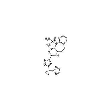 BC(B)(B)N1C(=O)[C@@H](NC(=O)c2cc(C3(n4nccn4)CC3)on2)CCc2cccnc21